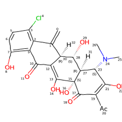 C=C1c2c(Cl)ccc(O)c2C(=O)C2=C(O)[C@]3(O)C(=O)C(C(C)=O)=C(O)[C@@H](N(C)C)[C@@H]3[C@@H](O)[C@H]12